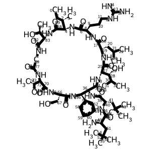 CC[C@H](C)[C@@H]1NC(=O)[C@@H](CCCNC(=N)N)NC(=O)[C@H](CC(C)C)NC(=O)[C@H]([C@H](O)C(C)C)NC(=O)[C@@H](NC(=O)[C@H](CC(C)(C)C)NC(=O)[C@H](N)CC(C)(C)C)[C@@H](c2ccccc2)NC(=O)[C@H](CO)NC(=O)C([C@@H](C)O)NC(=O)CNC(=O)[C@H]([C@H](C)O)NC1=O